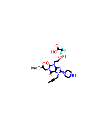 CC#CCn1c(N2CCNCC2)nc2c1c(=O)n(CC(=O)OC)c(=O)n2CCOCC.O=C(O)C(F)(F)F